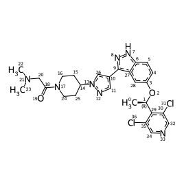 C[C@@H](Oc1ccc2[nH]nc(-c3cnn(C4CCN(C(=O)CN(C)C)CC4)c3)c2c1)c1c(Cl)cncc1Cl